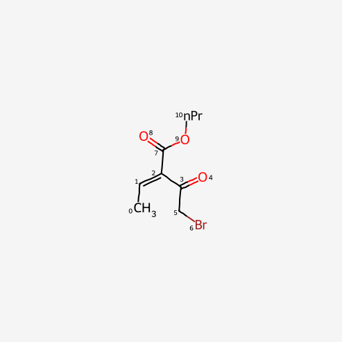 CC=C(C(=O)CBr)C(=O)OCCC